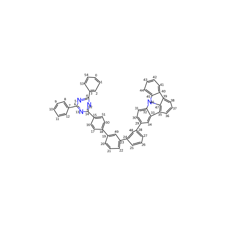 c1ccc(-c2nc(-c3ccccc3)nc(-c3ccc(-c4cccc(-c5cccc(-c6ccc7c(c6)c6cccc8c9ccccc9n7c86)c5)c4)cc3)n2)cc1